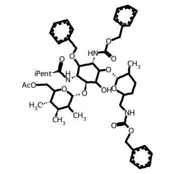 CCC[C@H](C)C(=O)N[C@@H]1C(OCc2ccccc2)[C@H](NC(=O)OCc2ccccc2)C(O[C@H]2OC(CNC(=O)OCc3ccccc3)CCC2C)C(O)[C@H]1O[C@H]1OC(COC(C)=O)[C@@H](C)[C@H](C)C1C